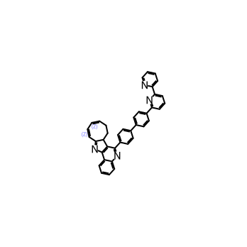 C1=C\CCC2C(=Nc3c2c(-c2ccc(-c4ccc(-c5cccc(-c6ccccn6)n5)cc4)cc2)nc2ccccc32)\C=C/1